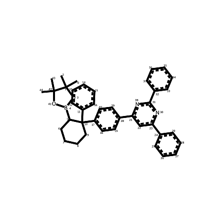 CC1(C)OB(C2CCCCC2(c2ccccc2)c2ccc(-c3cc(-c4ccccc4)nc(-c4ccccc4)n3)cc2)OC1(C)C